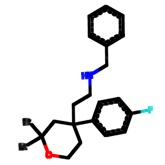 CCC1(CC)CC(CCNCc2ccccc2)(c2ccc(F)cc2)CCO1